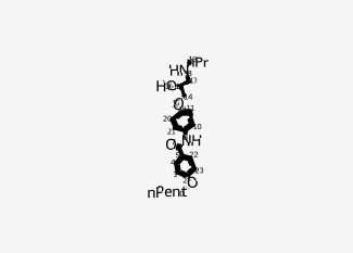 CCCCCOc1ccc(C(=O)Nc2ccc(OCC(O)CNCCC)cc2)cc1